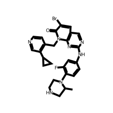 CC1CNCCN1c1ccc(Nc2ncc3cc(Br)c(=O)n(Cc4ccncc4C4CC4)c3n2)cc1F